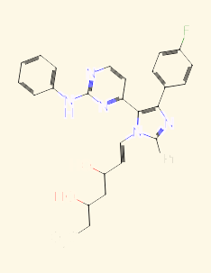 CC(C)c1nc(-c2ccc(F)cc2)c(-c2ccnc(Nc3ccccc3)n2)n1C=CC(O)CC(O)CC(=O)O